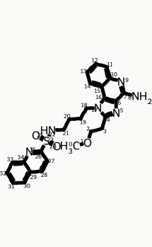 COCCc1nc2c(N)nc3ccccc3c2n1CCCCNS(=O)(=O)c1ccc2ccccc2n1